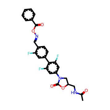 CC(=O)NCC1CN(c2cc(F)c(-c3ccc(C=NOC(=O)c4ccccc4)c(F)c3)c(F)c2)C(=O)O1